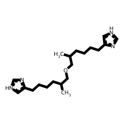 CC(CCCCc1c[nH]cn1)COCC(C)CCCCc1c[nH]cn1